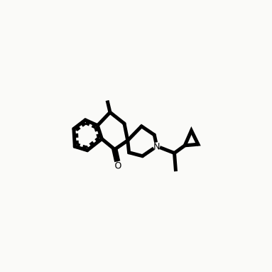 CC1CC2(CCN(C(C)C3CC3)CC2)C(=O)c2ccccc21